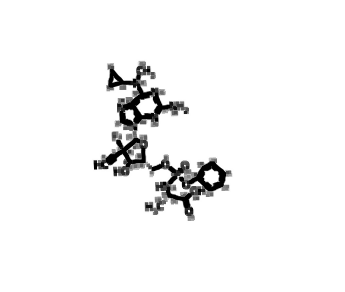 C#C[C@@]1(F)[C@H](O)[C@@H](COP(=O)(N[C@@H](C)C(=O)O)Oc2ccccc2)O[C@H]1n1cnc2c(N(C)C3CC3)nc(N)nc21